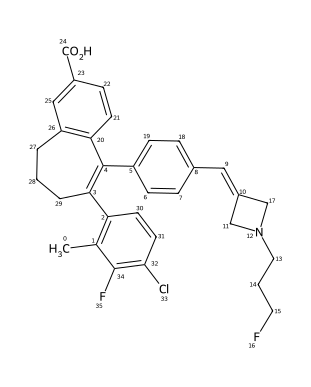 Cc1c(C2=C(c3ccc(C=C4CN(CCCF)C4)cc3)c3ccc(C(=O)O)cc3CCC2)ccc(Cl)c1F